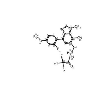 Cn1cnc2c(-c3ccc(OC(F)(F)F)cc3F)cc(CN)c(C#N)c21.O=C(O)C(F)(F)F